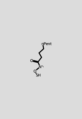 CCCCCCCCC(=O)[N+]OS